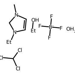 CCN1C=CN(C)C1.CCO.ClC(Cl)Cl.F[B-](F)(F)F.O